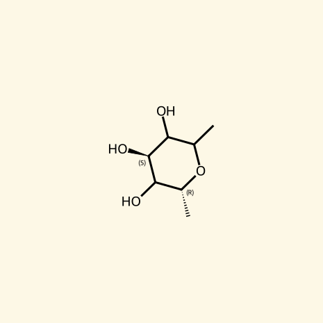 CC1O[C@H](C)C(O)[C@@H](O)C1O